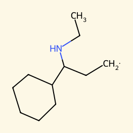 [CH2]CC(NCC)C1CCCCC1